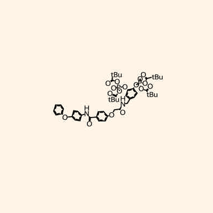 CC(C)(C)C(=O)OP(=O)(OC(=O)C(C)(C)C)Oc1ccc(CNC(=O)COc2ccc(C(=O)Nc3ccc(Oc4ccccc4)cc3)cc2)cc1OP(=O)(OC(=O)C(C)(C)C)OC(=O)C(C)(C)C